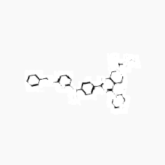 C[C@H]1COCCN1c1nc(-c2ccc(Nc3cccc(OCc4ccccc4)n3)cc2)nc2c1CCN(C(=O)OC(C)(C)C)C2